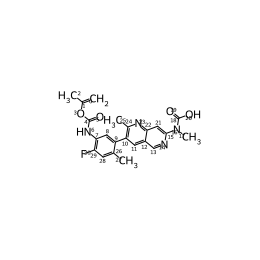 C=C(C)OC(=O)Nc1cc(-c2cc3cnc(N(C)C(=O)O)cc3nc2C)c(C)cc1F